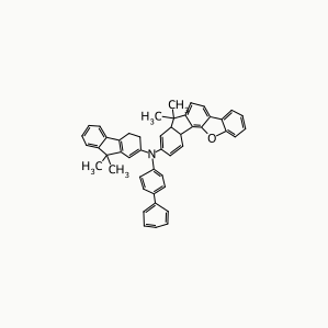 CC1(C)C2=C(CCC(N(C3=CC4C(C=C3)c3c(ccc5c3oc3ccccc35)C4(C)C)c3ccc(-c4ccccc4)cc3)=C2)c2ccccc21